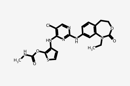 CCN1C(=O)OCCc2ccc(Nc3ncc(Cl)c(Nc4ccsc4OC(=O)NC)n3)cc21